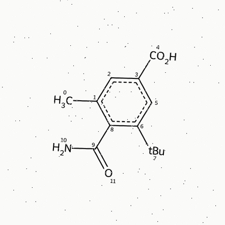 Cc1cc(C(=O)O)cc(C(C)(C)C)c1C(N)=O